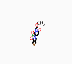 COCCN1C(=O)CC[C@@](F)(N2Cc3cscc3C2=O)C1=O